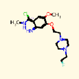 CN/C(Cl)=C1/C=C(OC)C(OCCN2CCN(CCF)CC2)=CC1=N